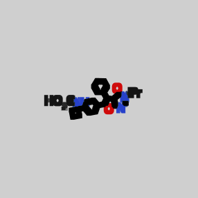 CC(C)n1cnc2oc(-c3ccc(C4(NC(=O)O)CCC4)cc3)c(-c3ccccc3)c2c1=O